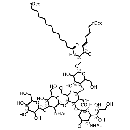 CCCCCCCCCCCCC/C=C/[C@@H](O)[C@H](CO[C@@H]1OC(CO)[C@@H](O[C@@H]2OC(CO)[C@H](O[C@@H]3OC(CO)[C@H](O)[C@H](O[C@@H]4OC(CO)[C@H](O)[C@H](O)C4O)C3NC(C)=O)[C@H](O[C@]3(C(=O)O)CC(O)[C@@H](NC(C)=O)C([C@H](O)[C@H](O)CO)O3)C2O)[C@H](O)C1O)NC(=O)CCCCCCCCCCCCCCCCCCCCC